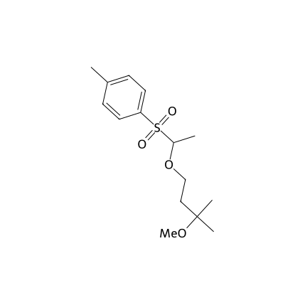 COC(C)(C)CCOC(C)S(=O)(=O)c1ccc(C)cc1